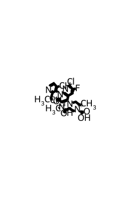 Cc1ccnc(C(C)C)c1-n1c(=O)c2c(c3cc(F)c(Cl)nc31)N1C[C@@H](C)N(C(=O)O)C[C@@H]1C(=O)N2C